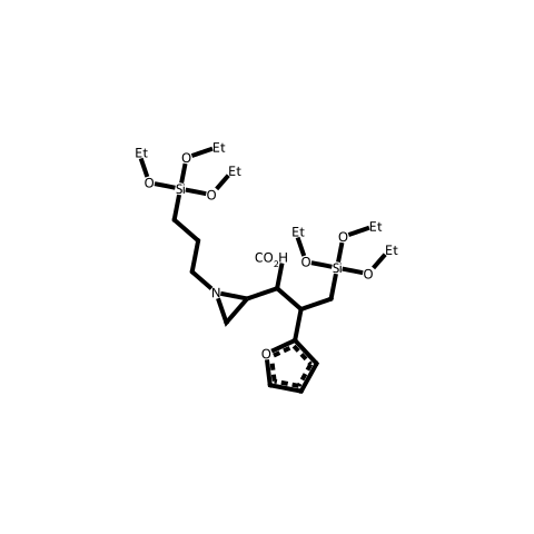 CCO[Si](CCCN1CC1C(C(=O)O)C(C[Si](OCC)(OCC)OCC)c1ccco1)(OCC)OCC